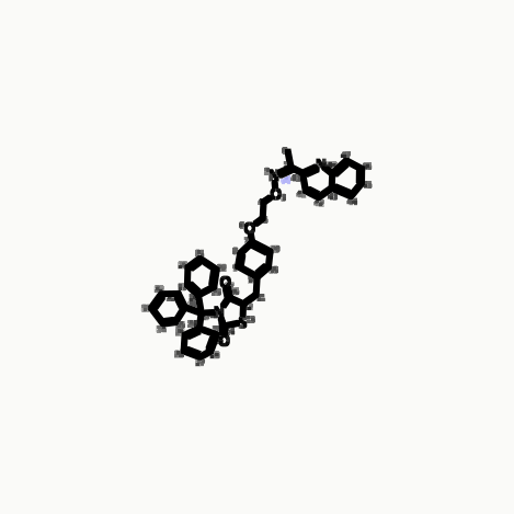 C/C(=N/OCCOc1ccc(CC2SC(=O)N(C(c3ccccc3)(c3ccccc3)c3ccccc3)C2=O)cc1)c1ccc2ccccc2n1